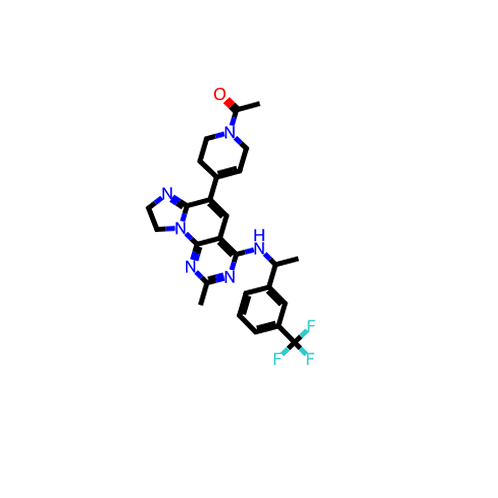 CC(=O)N1CC=C(C2=Cc3c(NC(C)c4cccc(C(F)(F)F)c4)nc(C)nc3N3CCN=C23)CC1